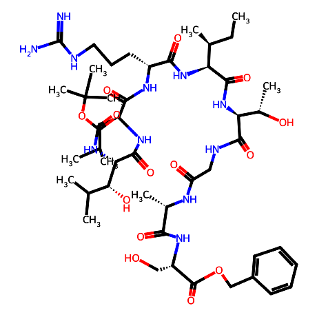 CC[C@H](C)[C@H](NC(=O)[C@@H](CCCNC(=N)N)NC(=O)[C@H](CC(C)C)NC(=O)[C@@H](NC(=O)OC(C)(C)C)[C@H](O)C(C)C)C(=O)N[C@H](C(=O)NCC(=O)N[C@@H](C)C(=O)N[C@@H](CO)C(=O)OCc1ccccc1)[C@H](C)O